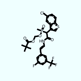 CC(C)(C)C(=O)OCOP(C)(=O)C(C(=O)N/C=C/c1cc(F)cc(C(F)(F)F)c1)c1csc2ccc(Cl)cc12